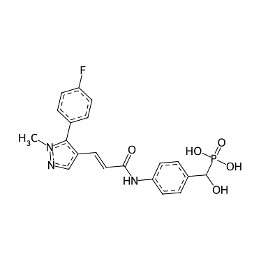 Cn1ncc(/C=C/C(=O)Nc2ccc(C(O)P(=O)(O)O)cc2)c1-c1ccc(F)cc1